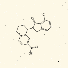 O=C(O)c1ccc2c(c1)C(N1Cc3cccc(Cl)c3C1=O)CCC2